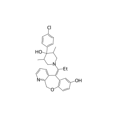 CCC(=C1c2cc(O)ccc2OCc2ncccc21)N1CC(C)C(O)(c2ccc(Cl)cc2)C(C)C1